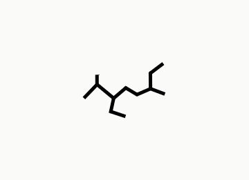 [CH2]C(C)C(CC)CCC(C)CC